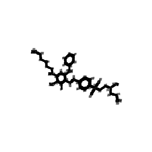 Cc1c(C#N)c(NCCOCCO)nc(Nc2ccccc2)c1/N=N/c1ccc(S(=O)(=O)CCN(CCO)C(C)C)cc1